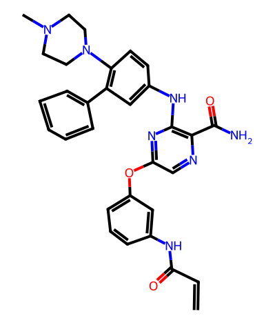 C=CC(=O)Nc1cccc(Oc2cnc(C(N)=O)c(Nc3ccc(N4CCN(C)CC4)c(-c4ccccc4)c3)n2)c1